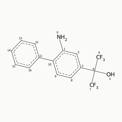 Nc1cc(C(O)(C(F)(F)F)C(F)(F)F)ccc1-c1ccccc1